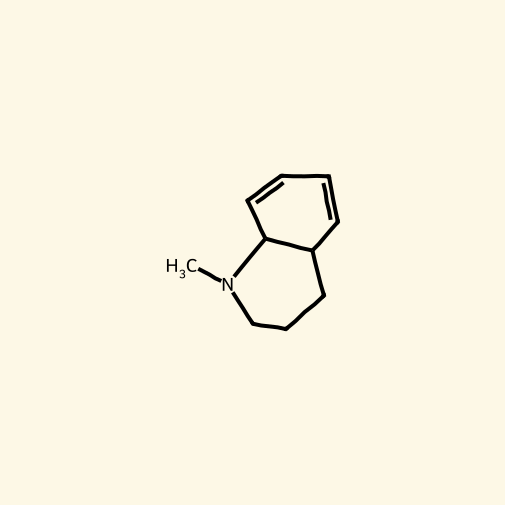 CN1CCCC2C=CC=CC21